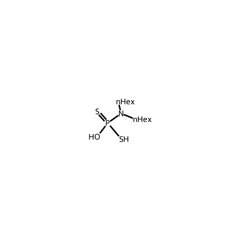 CCCCCCN(CCCCCC)P(O)(=S)S